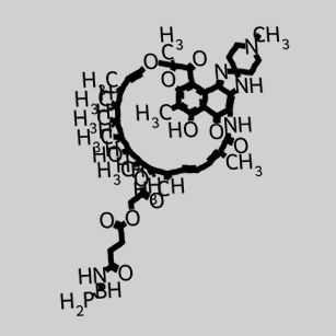 C/C1=C/C=C/[C@H](C)[C@H](OC(=O)COC(=O)CCC(=O)NBP)[C@@H](C)[C@@H](O)[C@@H](C)[C@H](C)[C@H](C)[C@@H](C)/C=C/O[C@@]2(C)Oc3c(C)c(O)c4c(c3C2=O)C2=NC3(CCN(C)CC3)NC2=C(NC1=O)C4=O